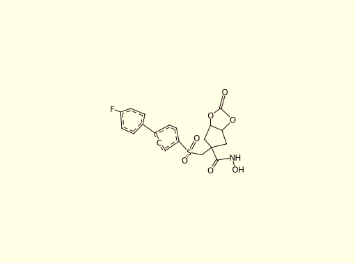 O=C1OC2CC(CS(=O)(=O)c3ccc(-c4ccc(F)cc4)cc3)(C(=O)NO)CC2O1